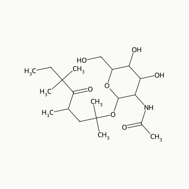 CCC(C)(C)C(=O)C(C)CC(C)(C)OC1OC(CO)C(O)C(O)C1NC(C)=O